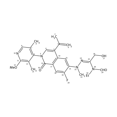 C=C(C)c1cn(-c2c(C)cnc(OC)c2C)c(=O)c2cc(F)c(N(C)/N=C(/CO)N(C=O)CC)cc12